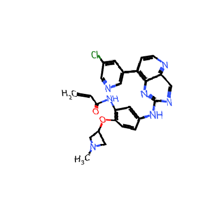 C=CC(=O)Nc1cc(Nc2ncc3nccc(-c4cncc(Cl)c4)c3n2)ccc1OC1CN(C)C1